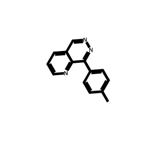 Cc1ccc(-c2nncc3cccnc23)cc1